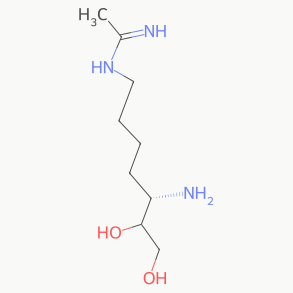 CC(=N)NCCCC[C@H](N)C(O)CO